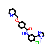 O=C(Nc1ccc(Cl)c(-c2ncc[nH]2)c1)c1ccc(OCc2ccccn2)cc1